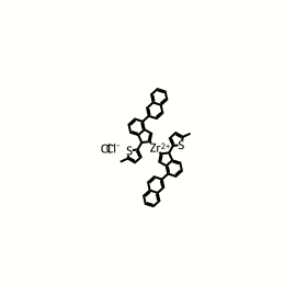 Cc1ccc(C2[C]([Zr+2][C]3=Cc4c(-c5ccc6ccccc6c5)cccc4C3c3ccc(C)s3)=Cc3c(-c4ccc5ccccc5c4)cccc32)s1.[Cl-].[Cl-]